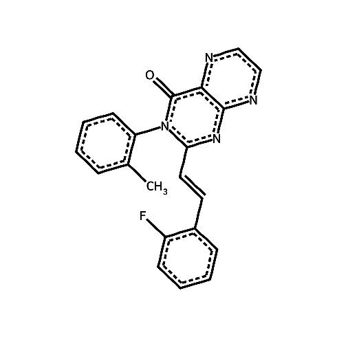 Cc1ccccc1-n1c(/C=C/c2ccccc2F)nc2nccnc2c1=O